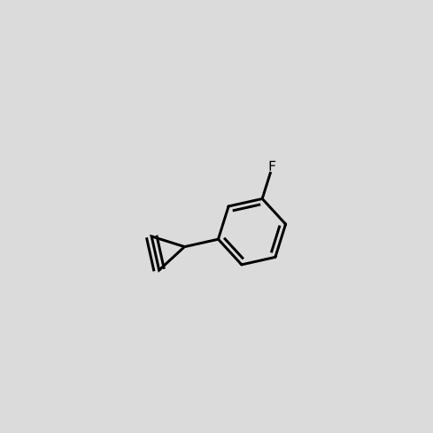 Fc1cccc(C2C#C2)c1